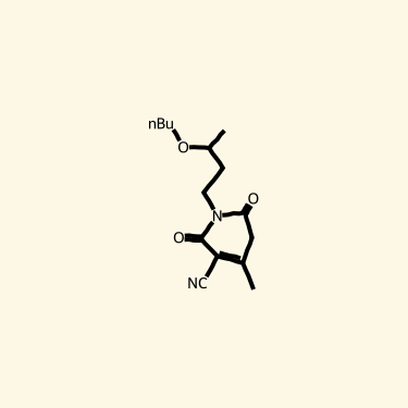 CCCCOC(C)CCN1C(=O)CC(C)=C(C#N)C1=O